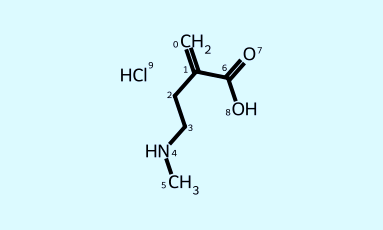 C=C(CCNC)C(=O)O.Cl